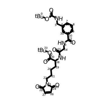 CC(C)(C)OC(=O)NCc1cccc(C(=O)NCC(=O)NC(CCCCN2C(=O)C=CC2=O)C(=O)OC(C)(C)C)c1